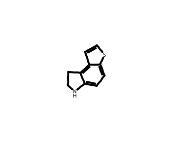 c1cc2c3c(ccc2s1)NCC3